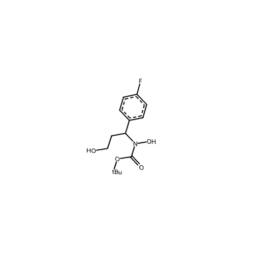 CC(C)(C)OC(=O)N(O)C(CCO)c1ccc(F)cc1